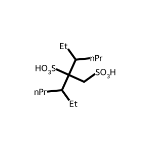 CCCC(CC)C(CS(=O)(=O)O)(C(CC)CCC)S(=O)(=O)O